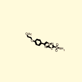 CC(=O)OCCOc1ccc(-c2cn3nc(S(N)(=O)=O)sc3n2)cc1